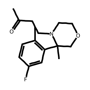 CC(=O)CCN1CCOCC1(C)c1cc(F)ccc1C